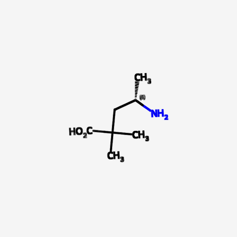 C[C@H](N)CC(C)(C)C(=O)O